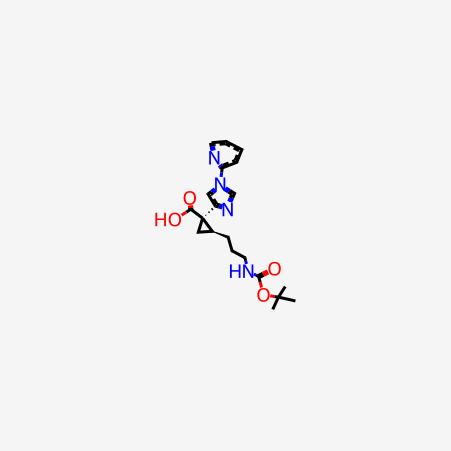 CC(C)(C)OC(=O)NCCC[C@H]1C[C@]1(C(=O)O)c1cn(-c2ccccn2)cn1